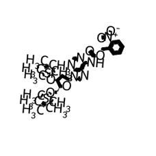 CC(C)(C)[Si](C)(C)OC[C@H]1O[C@@H](n2cnc3c(NC(=O)OCc4ccccc4[N+](=O)[O-])ncnc32)C[C@@H]1O[Si](C)(C)C(C)(C)C